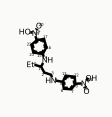 CCC(CCNc1ccc([N+](=O)O)cc1)Nc1ccc([N+](=O)O)cc1